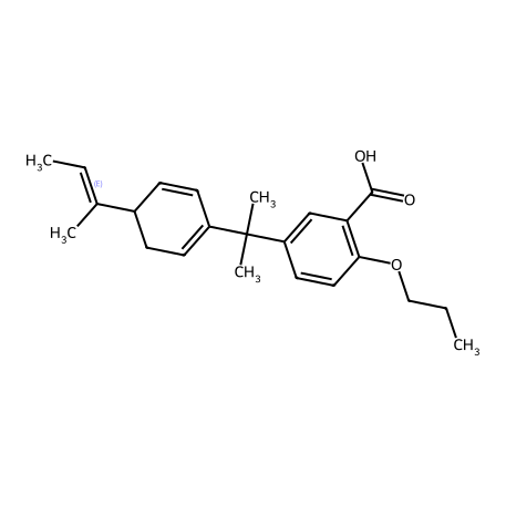 C/C=C(\C)C1C=CC(C(C)(C)c2ccc(OCCC)c(C(=O)O)c2)=CC1